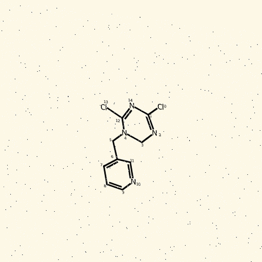 ClC1=NCN(Cc2cccnc2)C(Cl)=N1